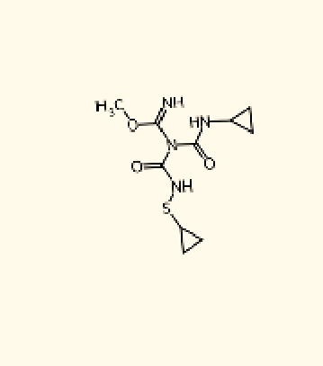 COC(=N)N(C(=O)NSC1CC1)C(=O)NC1CC1